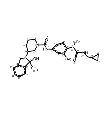 CC(=O)c1cc(NC(=O)N2CCCC(N3Cc4ccccc4C3(C)O)C2)ccc1N(C(=O)NCC1CC1)C(C)C